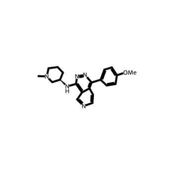 COc1ccc(-c2nnc(N[C@@H]3CCCN(C)C3)c3cnccc23)cc1